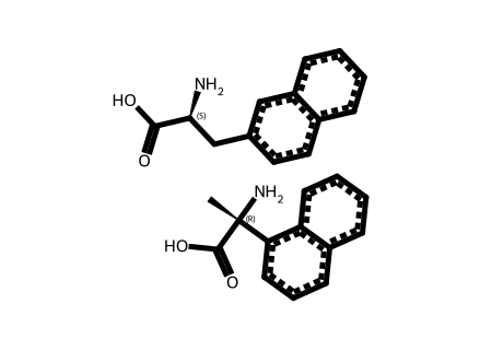 C[C@](N)(C(=O)O)c1cccc2ccccc12.N[C@@H](Cc1ccc2ccccc2c1)C(=O)O